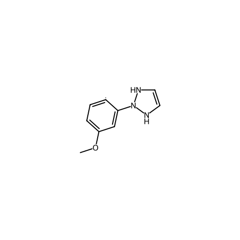 COc1cc[c]c(N2NC=CN2)c1